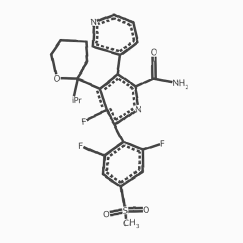 CC(C)C1(c2c(F)c(-c3c(F)cc(S(C)(=O)=O)cc3F)nc(C(N)=O)c2-c2cccnc2)CCCCO1